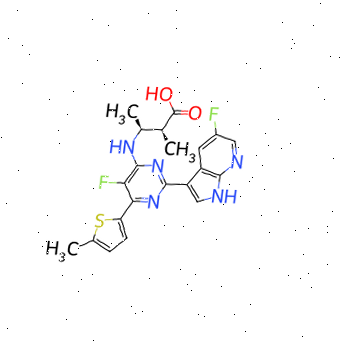 Cc1ccc(-c2nc(-c3c[nH]c4ncc(F)cc34)nc(N[C@@H](C)[C@H](C)C(=O)O)c2F)s1